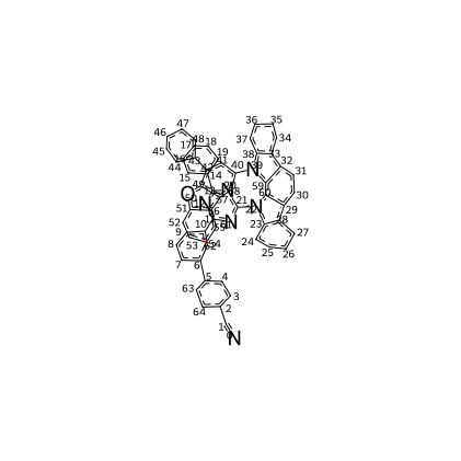 N#Cc1ccc(-c2cccc(-c3nc(-c4ccccc4)nc(-n4c5ccccc5c5ccc6c7ccccc7n(-c7cc(-c8ccccc8)c8oc9ccccc9c8c7)c6c54)n3)c2)cc1